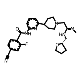 C/N=C(/CN1CCC(c2cccc(NC(=O)c3ccc(C#N)cc3F)n2)CC1)NC[C@@H]1CCCO1